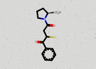 O=C(c1ccccc1)C(S)CC(=O)N1CCC[C@H]1C(=O)O